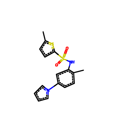 Cc1ccc(S(=O)(=O)Nc2cc(-n3cccc3)ccc2C)s1